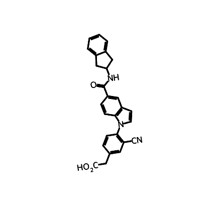 N#Cc1cc(CC(=O)O)ccc1-n1ccc2cc(C(=O)NC3Cc4ccccc4C3)ccc21